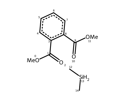 COC(=O)c1ccccc1C(=O)OC.C[SiH2]C